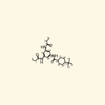 CCC(=O)Nc1cc(NC(=O)CC)cc(NC(=O)C2CCC(C(C)(C)C)CC2)c1